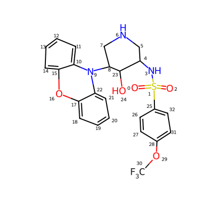 O=S(=O)(NC1CNCC(N2c3ccccc3Oc3ccccc32)C1O)c1ccc(OC(F)(F)F)cc1